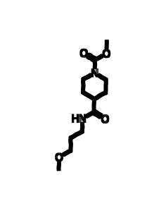 COCCCNC(=O)C1CCN(C(=O)OC)CC1